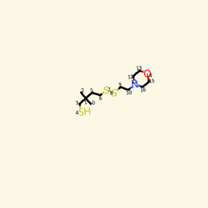 CC(C)(CS)CCSSCCN1CCOCC1